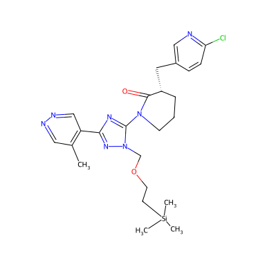 Cc1cnncc1-c1nc(N2CCC[C@@H](Cc3ccc(Cl)nc3)C2=O)n(COCC[Si](C)(C)C)n1